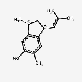 CC(C)=C[C@@H]1C[C@@H](C)c2cc(O)c(C)cc21